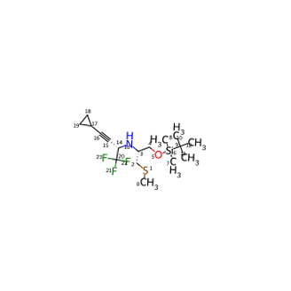 CSC[C@@H](CO[Si](C)(C)C(C)(C)C)N[C@@H](C#CC1CC1)C(F)(F)F